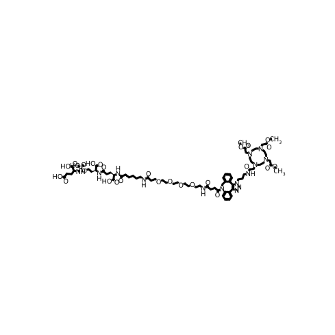 COC(=O)CN1CCN(CC(=O)NCCCn2nnc3c2-c2ccccc2CN(C(=O)CCC(=O)NCCOCCOCCOCCOCCC(=O)NCCCCCC(=O)N[C@H](CCC(=O)N[C@@H](CCOP(=O)(O)NC(CCC(=O)O)C(=O)O)C(=O)O)C(=O)O)c2ccccc2-3)CCN(CC(=O)OC)CCN(CC(=O)OC)CC1